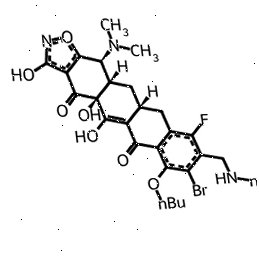 CCCCOc1c(Br)c(CNCCC)c(F)c2c1C(=O)C1=C(O)[C@]3(O)C(=O)c4c(O)noc4[C@@H](N(C)C)[C@@H]3C[C@@H]1C2